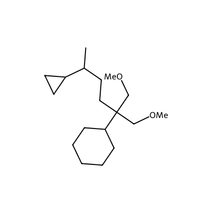 COCC(CCC(C)C1CC1)(COC)C1CCCCC1